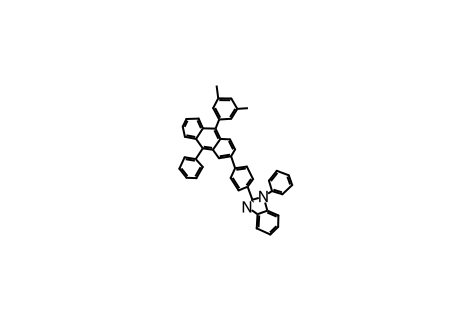 Cc1cc(C)cc(-c2c3ccccc3c(-c3ccccc3)c3cc(-c4ccc(-c5nc6ccccc6n5-c5ccccc5)cc4)ccc23)c1